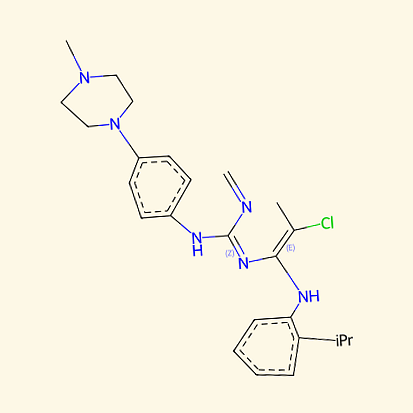 C=N/C(=N\C(Nc1ccccc1C(C)C)=C(/C)Cl)Nc1ccc(N2CCN(C)CC2)cc1